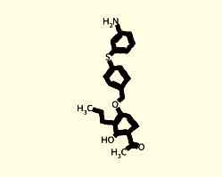 CCCc1c(OCc2ccc(Sc3cccc(N)c3)cc2)ccc(C(C)=O)c1O